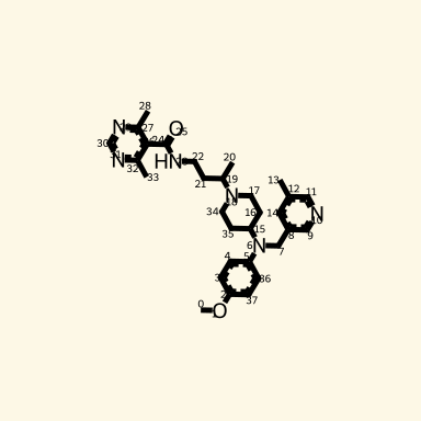 COc1ccc(N(Cc2cncc(C)c2)C2CCN(C(C)CCNC(=O)c3c(C)ncnc3C)CC2)cc1